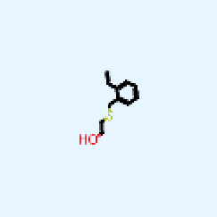 C=Cc1ccccc1CSCCO